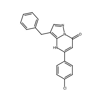 O=c1cc(-c2ccc(Cl)cc2)[nH]c2c(Cc3ccccc3)cnn12